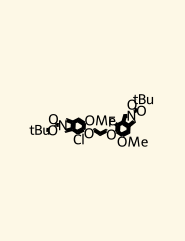 COc1cc2c(c(F)c1OCCCOc1c(OC)cc3c(c1Cl)CN(C(=O)OC(C)(C)C)C3)CN(C(=O)OC(C)(C)C)C2